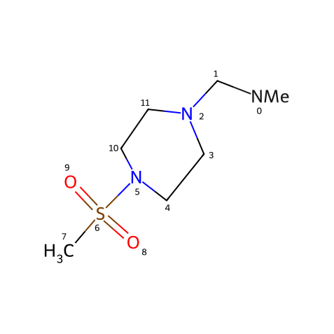 CNCN1CCN(S(C)(=O)=O)CC1